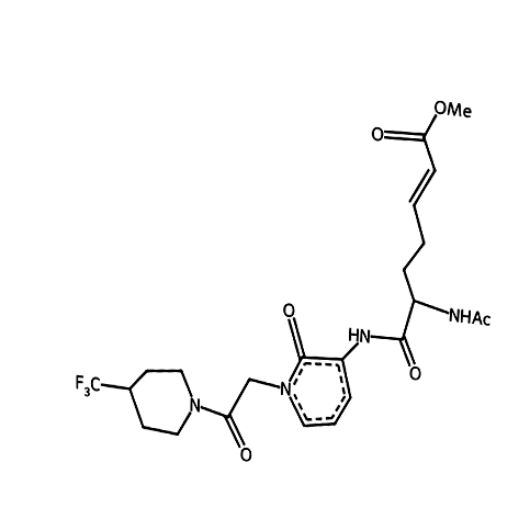 COC(=O)/C=C/CCC(NC(C)=O)C(=O)Nc1cccn(CC(=O)N2CCC(C(F)(F)F)CC2)c1=O